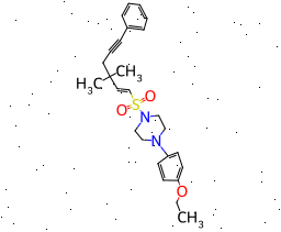 CCOc1ccc(N2CCN(S(=O)(=O)C=CC(C)(C)CC#Cc3ccccc3)CC2)cc1